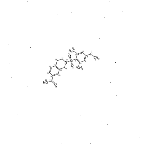 COc1cc(C)c(S(=O)(=O)N2CCc3ccc(C(=O)O)cc3C2)c(C)c1